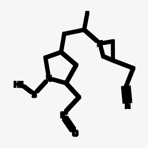 CC(CC1CC(C[S+]=O)N(SS)C1)N1CC(CC#N)C1